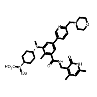 Cc1cc(C)c(CNC(=O)c2cc(-c3ccc(CN4CCOCC4)nc3)cc(N(C)[C@H]3CC[C@H](N(C(=O)O)C(C)(C)C)CC3)c2C)c(=O)[nH]1